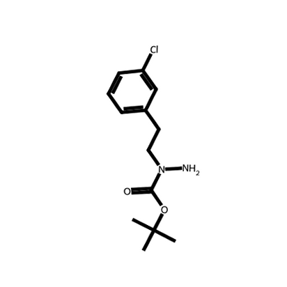 CC(C)(C)OC(=O)N(N)CCc1cccc(Cl)c1